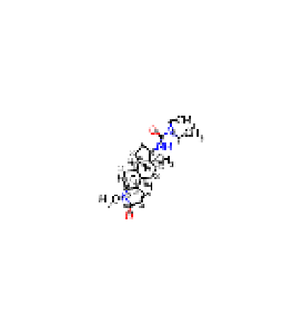 CCN(CC)C(=O)NC1CC[C@H]2[C@@H]3CCC4N(C)C(=O)C=C[C@]4(C)[C@@H]3CC[C@]12C